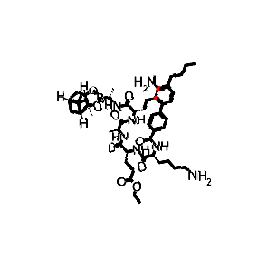 CCCCc1ccc(-c2ccc(C(=O)N[C@@H](CCCCN)C(=O)N[C@@H](CCC(=O)OCC)C(=O)N[C@@H](C)C(=O)N[C@@H](CCCCN)C(=O)N[C@@H](C)B3O[C@@H]4C[C@@H]5C[C@@H](C5(C)C)[C@]4(C)O3)cc2)cc1